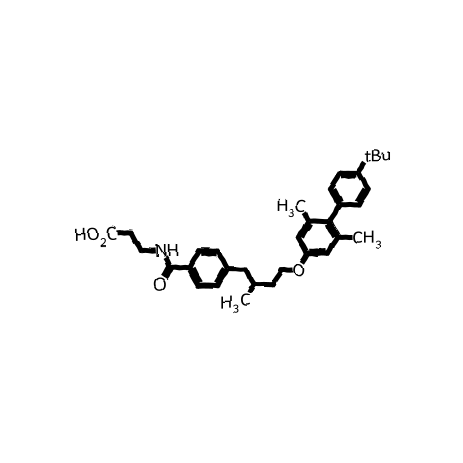 Cc1cc(OCCC(C)Cc2ccc(C(=O)NCCC(=O)O)cc2)cc(C)c1-c1ccc(C(C)(C)C)cc1